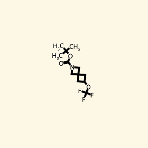 CC(C)(C)OC(=O)N1CC2(CC(OC(F)(F)F)C2)C1